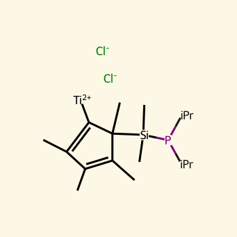 CC1=C(C)C(C)([Si](C)(C)P(C(C)C)C(C)C)[C]([Ti+2])=C1C.[Cl-].[Cl-]